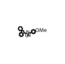 COc1ccc(-c2noc(CCC3(c4ccccc4)CCCCC3)n2)cc1